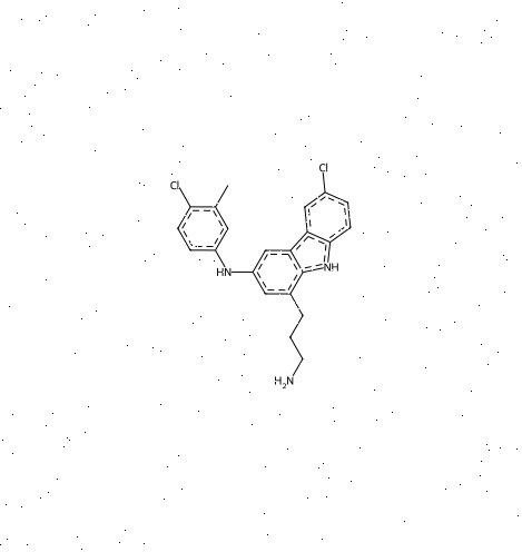 Cc1cc(Nc2cc(CCCN)c3[nH]c4ccc(Cl)cc4c3c2)ccc1Cl